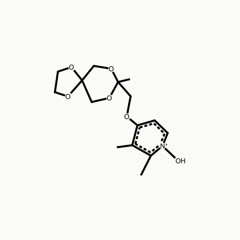 Cc1c(OCC2(C)OCC3(CO2)OCCO3)cc[n+](O)c1C